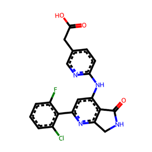 O=C(O)Cc1ccc(Nc2cc(-c3c(F)cccc3Cl)nc3c2C(=O)NC3)nc1